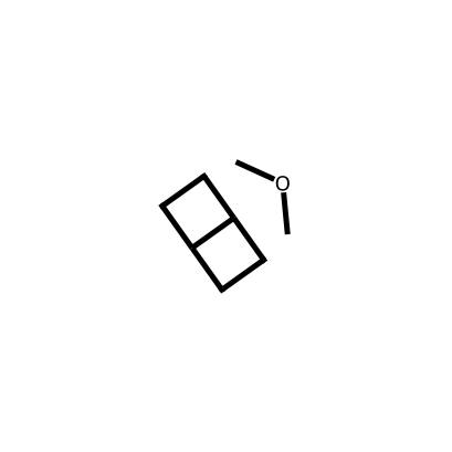 C1CC2CCC12.COC